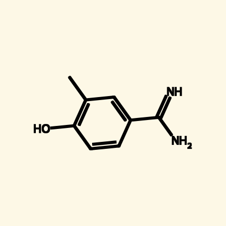 Cc1cc(C(=N)N)ccc1O